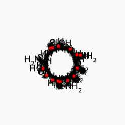 CCCC[C@H]1C(=O)N(C)[C@@H](CCCC)C(=O)N[C@@H](CCC(=O)O)C(=O)N[C@H](C(=O)NCC(N)=O)CSCC(=O)N[C@@H](Cc2ccc(O)cc2)C(=O)N(C)[C@@H](C)C(=O)N[C@@H](CC(=O)O)C(=O)N2CCC[C@H]2C(=O)N[C@@H](Cc2c[nH]cn2)C(=O)N[C@@H](CCCCN)C(=O)N2C[C@H](Cc3ccccc3)C[C@H]2C(=O)N[C@@H](Cc2c[nH]c3ccccc23)C(=O)N[C@@H](CCCCN)C(=O)N[C@@H](Cc2c[nH]c3ccccc23)C(=O)N1C